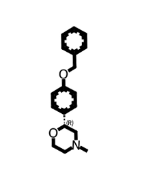 CN1CCO[C@H](c2ccc(OCc3ccccc3)cc2)C1